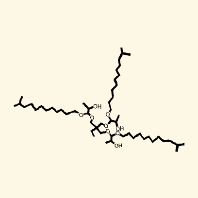 CCC(COC(OCCCCCCCCCCC(C)C)C(C)O)(COC(OCCCCCCCCCCC(C)C)C(C)O)COC(OCCCCCCCCCCC(C)C)C(C)O